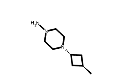 C[C@H]1C[C@H](N2CCN(N)CC2)C1